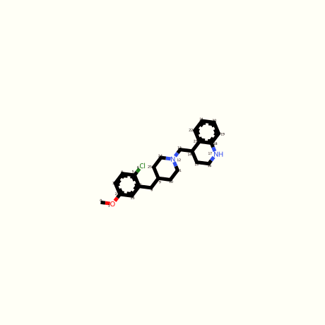 COc1ccc(Cl)c(CC2CCN(CC3CCNc4ccccc43)CC2)c1